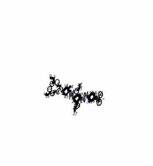 C=CC(=O)OCCN(CCOC(=O)C=C)C1=CC(C)=C(/N=N/c2cc(OCC)c(/N=N/c3ccc([N+](=O)[O-])cc3)cc2OCC)CC1